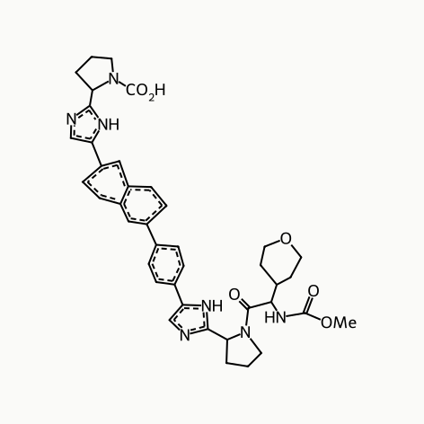 COC(=O)NC(C(=O)N1CCCC1c1ncc(-c2ccc(-c3ccc4cc(-c5cnc(C6CCCN6C(=O)O)[nH]5)ccc4c3)cc2)[nH]1)C1CCOCC1